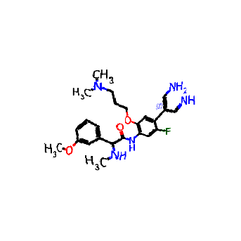 CNC(C(=O)Nc1cc(F)c(/C(C=N)=C/N)cc1OCCCN(C)C)c1cccc(OC)c1